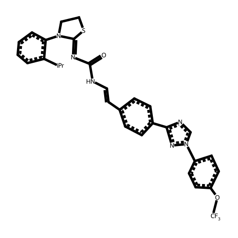 CC(C)c1ccccc1N1CCS/C1=N\C(=O)N/C=C/c1ccc(-c2ncn(-c3ccc(OC(F)(F)F)cc3)n2)cc1